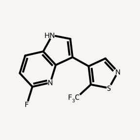 Fc1ccc2[nH]cc(-c3cnsc3C(F)(F)F)c2n1